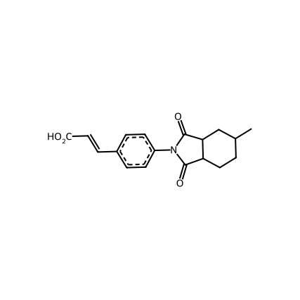 CC1CCC2C(=O)N(c3ccc(C=CC(=O)O)cc3)C(=O)C2C1